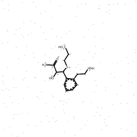 CCCCCCCCCCCCc1ccccc1C(SCCC(=O)O)C(O)C(N)=O